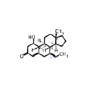 C/C=C1/CC2=CC(=O)CC(O)[C@@H]2[C@H]2CC[C@]3(C)CCC[C@H]3[C@H]12